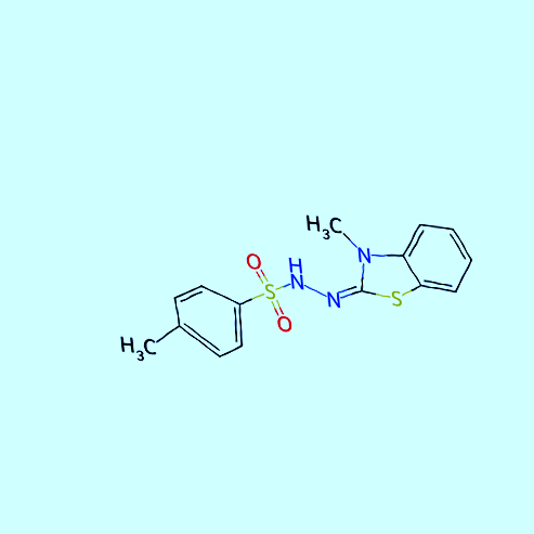 Cc1ccc(S(=O)(=O)NN=c2sc3ccccc3n2C)cc1